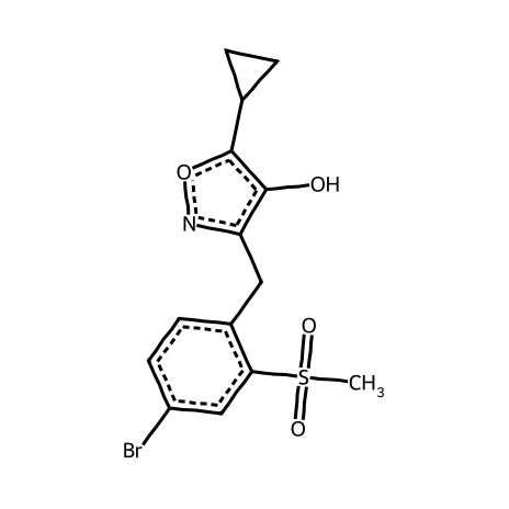 CS(=O)(=O)c1cc(Br)ccc1Cc1noc(C2CC2)c1O